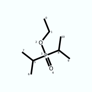 CCOP(=O)(C(C)C)C(C)C